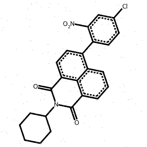 O=C1c2cccc3c(-c4ccc(Cl)cc4[N+](=O)[O-])ccc(c23)C(=O)N1C1CCCCC1